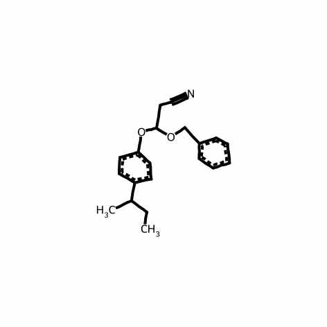 CCC(C)c1ccc(OC(CC#N)OCc2ccccc2)cc1